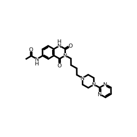 CC(=O)Nc1ccc2[nH]c(=O)n(CCCCN3CCN(c4ncccn4)CC3)c(=O)c2c1